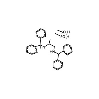 CC(CNC(c1ccccc1)c1ccccc1)NC(c1ccccc1)c1ccccc1.CS(=O)(=O)O.CS(=O)(=O)O